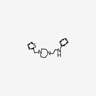 c1ccc(NCCN2CCN(Cc3cccs3)CC2)cc1